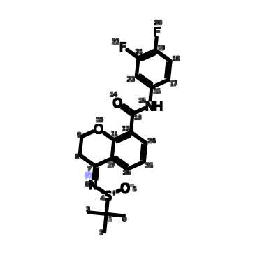 CC(C)(C)[S+]([O-])/N=C1/CCOc2c(C(=O)Nc3ccc(F)c(F)c3)cccc21